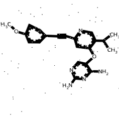 COc1ccc(C#Cc2cc(Oc3cnc(N)nc3N)c(C(C)C)cn2)cc1